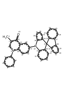 Cc1cn(-c2ccccc2)c2ccc(N3c4ccccc4C4(c5ccccc5-c5ccccc54)c4ccccc43)cc2c1=O